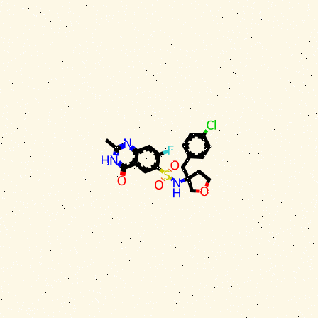 Cc1nc2cc(F)c(S(=O)(=O)NC3(Cc4ccc(Cl)cc4)CCOC3)cc2c(=O)[nH]1